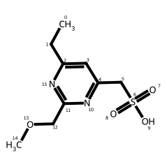 CCc1cc(CS(=O)(=O)O)nc(COC)n1